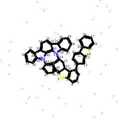 C1=C2Sc3cccc(-c4ccc5c(c4)sc4ccccc45)c3C2CC(n2c3ccccc3c3ccc4c5ccccc5n(-c5ccccc5)c4c32)=C1